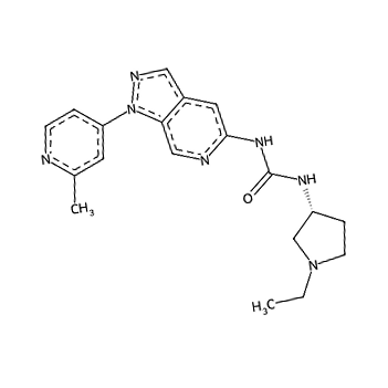 CCN1CC[C@@H](NC(=O)Nc2cc3cnn(-c4ccnc(C)c4)c3cn2)C1